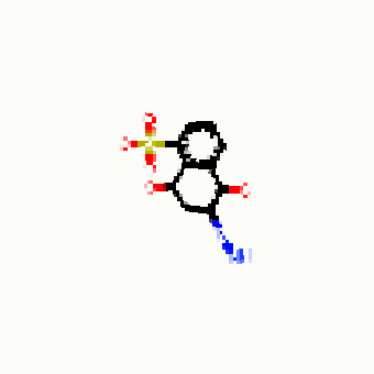 N=[N+]=C1CC(=O)c2c(cccc2S(=O)(=O)[O-])C1=O